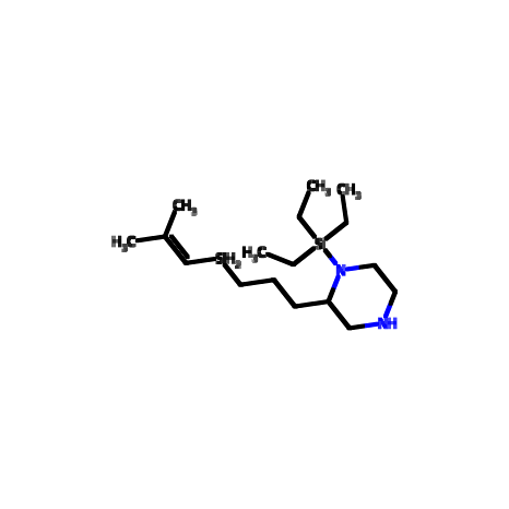 CC[Si](CC)(CC)N1CCNCC1CCC[SiH2]C=C(C)C